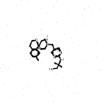 Cc1ccc2c(c1)[C@]1(CCN(Cc3cnc(NC(C)(C)CO)nc3)[C@@H](C)C1)OCC2